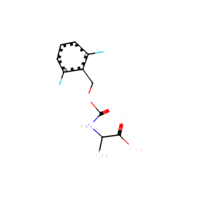 CC(NC(=O)OCc1c(F)cccc1F)C(=O)O